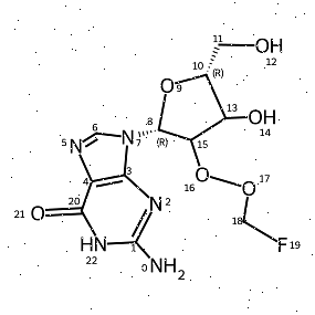 Nc1nc2c(ncn2[C@@H]2O[C@H](CO)C(O)C2OOCF)c(=O)[nH]1